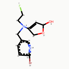 OC1C=C(N(CCF)Cc2ccc(Br)nc2)CO1